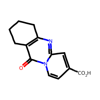 O=C(O)c1ccn2c(=O)c3c(nc2c1)CCCC3